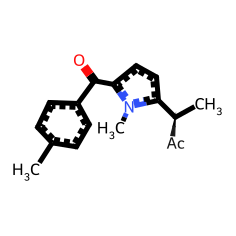 CC(=O)[C@H](C)c1ccc(C(=O)c2ccc(C)cc2)n1C